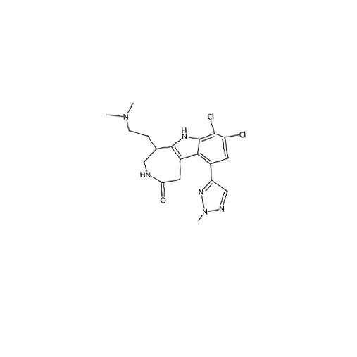 CN(C)CCC1CNC(=O)Cc2c1[nH]c1c(Cl)c(Cl)cc(-c3cnn(C)n3)c21